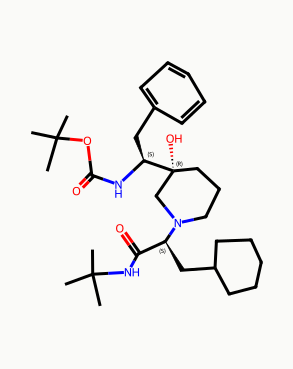 CC(C)(C)NC(=O)[C@H](CC1CCCCC1)N1CCC[C@](O)([C@H](Cc2ccccc2)NC(=O)OC(C)(C)C)C1